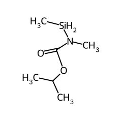 C[SiH2]N(C)C(=O)OC(C)C